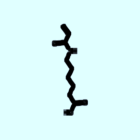 C=CC(=O)NCCCCCC(=O)O